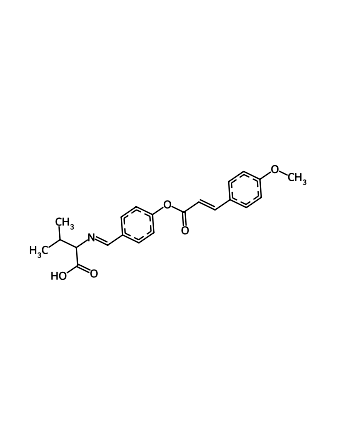 COc1ccc(/C=C/C(=O)Oc2ccc(/C=N/C(C(=O)O)C(C)C)cc2)cc1